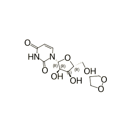 C1COOC1.O=c1ccn([C@@H]2O[C@H](CO)[C@@H](O)[C@H]2O)c(=O)[nH]1